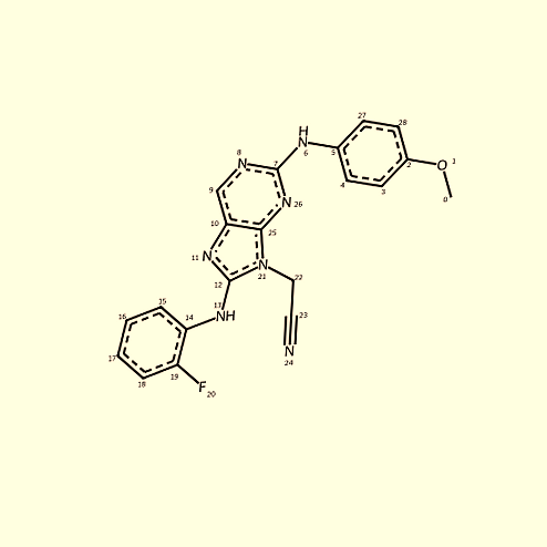 COc1ccc(Nc2ncc3nc(Nc4ccccc4F)n(CC#N)c3n2)cc1